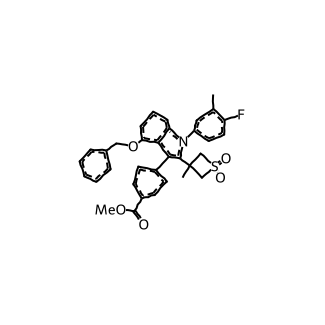 COC(=O)c1ccc(-c2c(C3(C)CS(=O)(=O)C3)n(-c3ccc(F)c(C)c3)c3cccc(OCc4ccccc4)c23)cc1